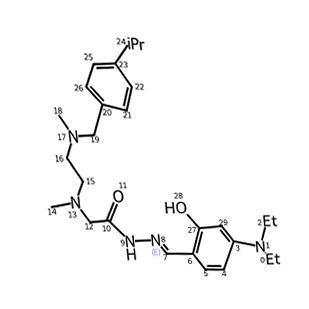 CCN(CC)c1ccc(/C=N/NC(=O)CN(C)CCN(C)Cc2ccc(C(C)C)cc2)c(O)c1